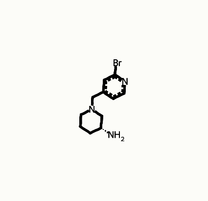 N[C@@H]1CCCN(Cc2ccnc(Br)c2)C1